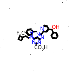 O=C(O)c1nc(NCCC2CCC2)c2c(n1)nc(-c1cc(C(O)c3ccccc3)ccn1)n2Cc1ccc(C(F)(F)F)cc1